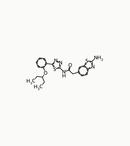 CCC(CC)Oc1ccccc1-c1nnc(NC(=O)Cc2ccc3nc(N)sc3c2)s1